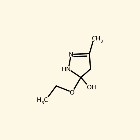 CCOC1(O)CC(C)=NN1